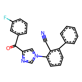 N#Cc1c(-c2ccccc2)cccc1-n1cnc(C(=O)c2cccc(F)c2)c1